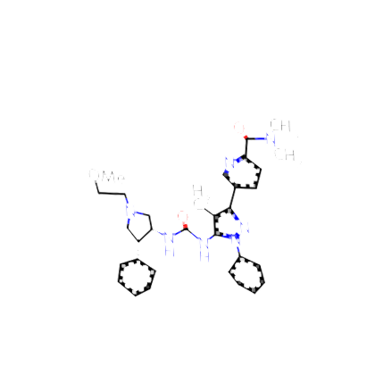 COCCN1C[C@@H](NC(=O)Nc2c(C)c(-c3ccc(C(=O)N(C)C)nc3)nn2-c2ccccc2)[C@H](c2ccccc2)C1